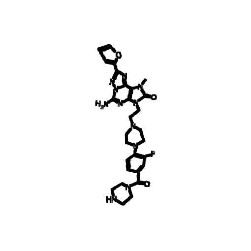 Cn1c(=O)n(CCN2CCN(c3ccc(C(=O)N4CCNCC4)cc3F)CC2)c2nc(N)n3nc(-c4ccco4)nc3c21